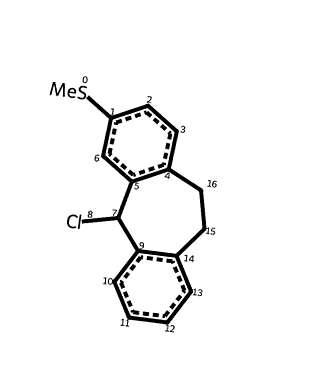 CSc1ccc2c(c1)C(Cl)c1ccccc1CC2